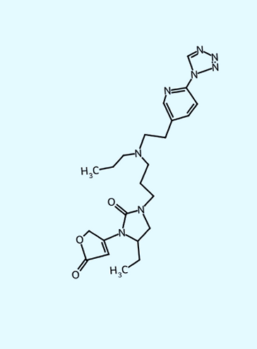 CCCN(CCCN1CC(CC)N(C2=CC(=O)OC2)C1=O)CCc1ccc(-n2cnnn2)nc1